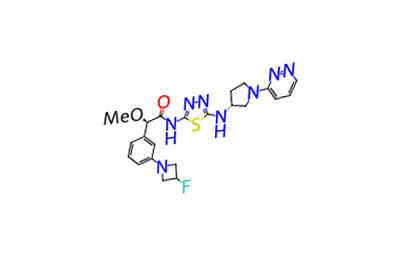 CO[C@@H](C(=O)Nc1nnc(N[C@@H]2CCN(c3cccnn3)C2)s1)c1cccc(N2CC(F)C2)c1